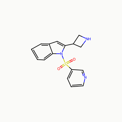 O=S(=O)(c1cccnc1)n1c(C2CNC2)cc2ccccc21